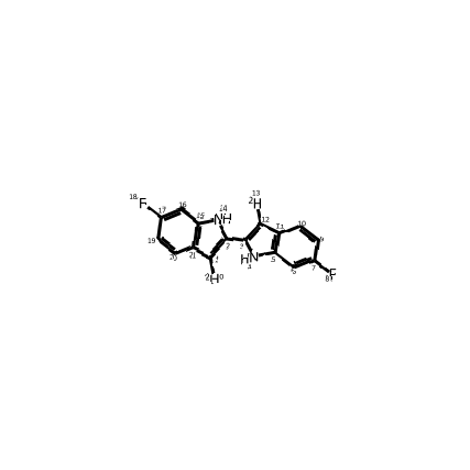 [2H]c1c(-c2[nH]c3cc(F)ccc3c2[2H])[nH]c2cc(F)ccc12